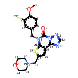 COc1ccc(Cn2c(=O)n3ncnc3c3cc(CN4CCOCC4)sc32)cc1F